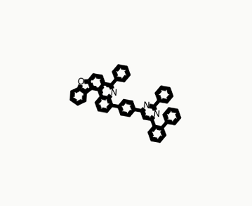 c1ccc(-c2nc(-c3ccc(-c4cccc5c4nc(-c4ccccc4)c4ccc6oc7ccccc7c6c45)cc3)cc(-c3ccccc3-c3ccccc3)n2)cc1